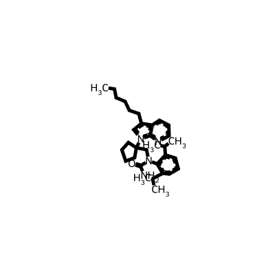 CCCCCCc1cn(C2(CN(C(N)=O)c3c(C(C)C)cccc3C(C)C)CCCC2)c2ncccc12